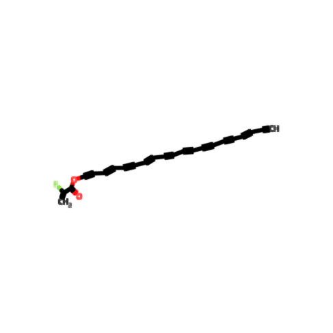 C#CC#CC#CC#CC#CC#CC#CC#CC#CC#COC(=O)C(=C)F